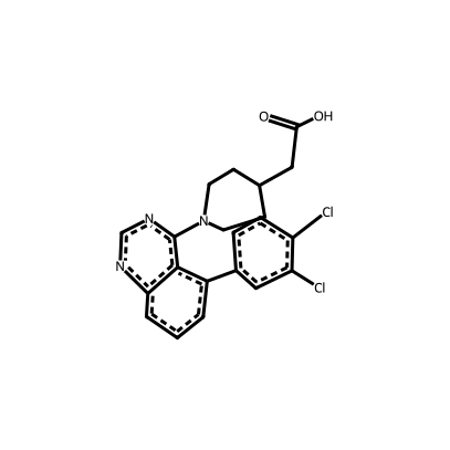 O=C(O)CC1CCN(c2ncnc3cccc(-c4ccc(Cl)c(Cl)c4)c23)CC1